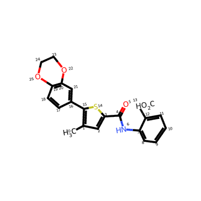 Cc1cc(C(=O)Nc2ccccc2C(=O)O)sc1-c1ccc2c(c1)OCCO2